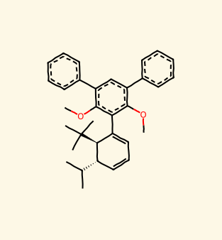 COc1c(-c2ccccc2)cc(-c2ccccc2)c(OC)c1C1=CC=C[C@H](C(C)C)[C@H]1C(C)(C)C